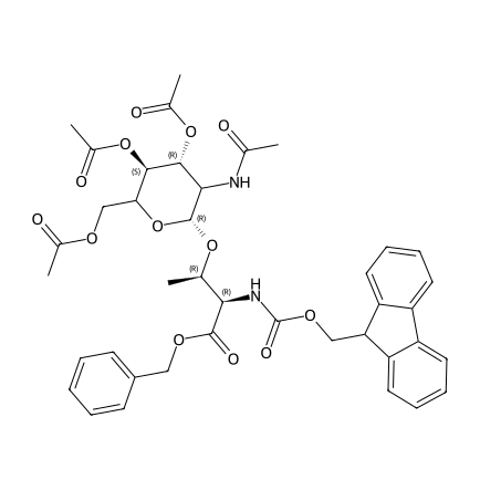 CC(=O)NC1[C@H](O[C@H](C)[C@@H](NC(=O)OCC2c3ccccc3-c3ccccc32)C(=O)OCc2ccccc2)OC(COC(C)=O)[C@@H](OC(C)=O)[C@@H]1OC(C)=O